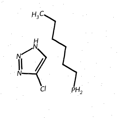 CCCCCCP.Clc1c[nH]nn1